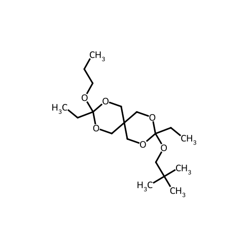 CCCOC1(CC)OCC2(CO1)COC(CC)(OCC(C)(C)C)OC2